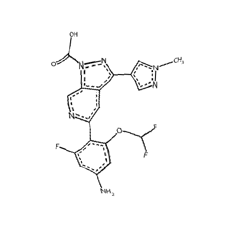 Cn1cc(-c2nn(C(=O)O)c3cnc(-c4c(F)cc(N)cc4OC(F)F)cc23)cn1